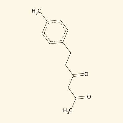 CC(=O)CC(=O)CCc1ccc(C)cc1